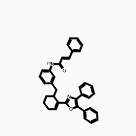 O=C(C=Cc1ccccc1)Nc1cccc(CC2CCCC=C2c2nc(-c3ccccc3)c(-c3ccccc3)o2)c1